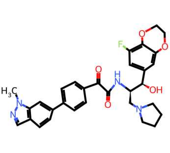 Cn1ncc2ccc(-c3ccc(C(=O)C(=O)N[C@H](CN4CCCC4)[C@H](O)c4cc(F)c5c(c4)OCCO5)cc3)cc21